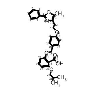 Cc1oc(-c2ccccc2)nc1CCOc1ccc(COc2cccc(OCC(C)C)c2C(=O)O)cc1